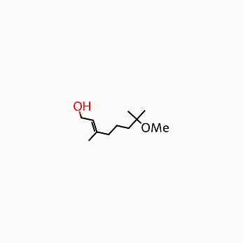 COC(C)(C)CCCC(C)=CCO